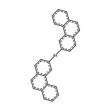 [Be]([c]1ccc2ccc3ccccc3c2c1)[c]1ccc2ccc3ccccc3c2c1